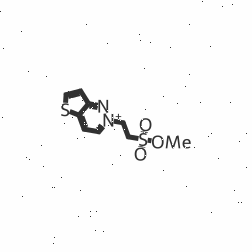 COS(=O)(=O)CC[n+]1ccc2sccc2n1